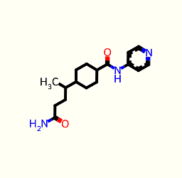 CC(CCC(N)=O)C1CCC(C(=O)Nc2ccncc2)CC1